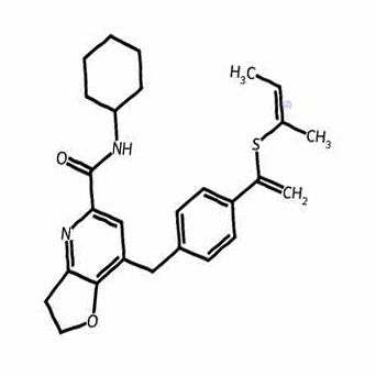 C=C(S/C(C)=C\C)c1ccc(Cc2cc(C(=O)NC3CCCCC3)nc3c2OCC3)cc1